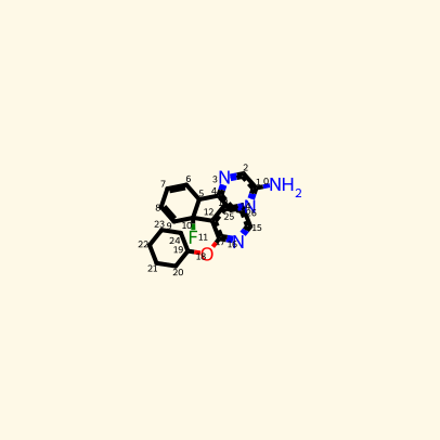 Nc1cnc(C2C=CC=CC2(F)c2cccnc2OC2CCCCC2)cn1